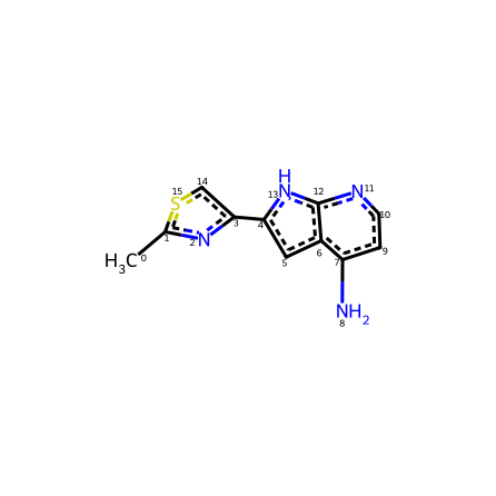 Cc1nc(-c2cc3c(N)ccnc3[nH]2)cs1